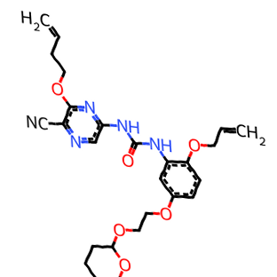 C=CCCOc1nc(NC(=O)Nc2cc(OCCOC3CCCCO3)ccc2OCC=C)cnc1C#N